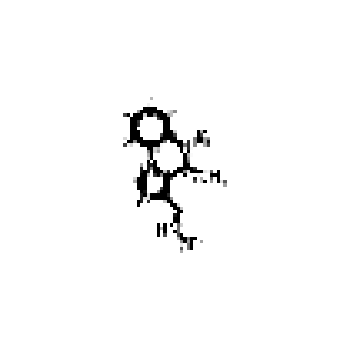 CC(C)NCc1ncn2c1C(C)[N+](=O)c1ccccc1-2